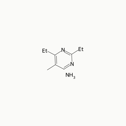 CCc1ncc(C)c(CC)n1.N